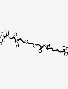 CC(C)CCCCCNC(=O)COCCOCCNC(=O)CNC(C)C